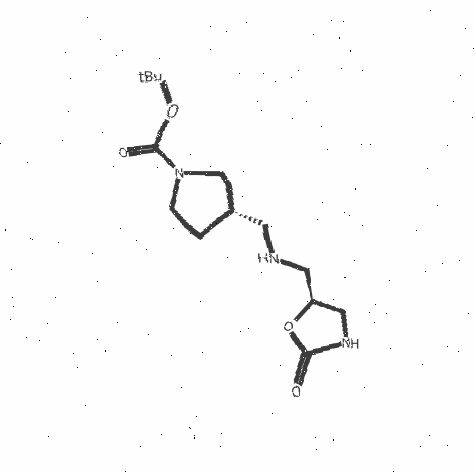 CC(C)(C)OC(=O)N1CC[C@@H](CNC[C@H]2CNC(=O)O2)C1